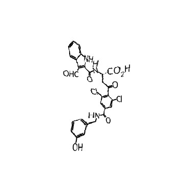 O=Cc1c(C(=O)N[C@@H](CC(=O)c2c(Cl)cc(C(=O)NCc3cccc(O)c3)cc2Cl)C(=O)O)[nH]c2ccccc12